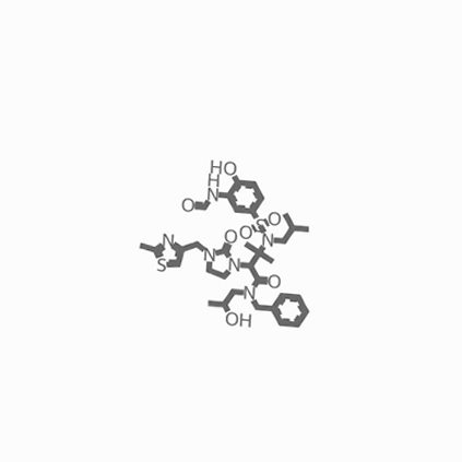 Cc1nc(CN2CCN(C(C(=O)N(Cc3ccccc3)CC(C)O)C(C)(C)N(CC(C)C)S(=O)(=O)c3ccc(O)c(NC=O)c3)C2=O)cs1